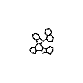 c1ccc2c(-n3c4ccccc4c4c5ccncc5c5oc6ccccc6c5c43)cccc2c1